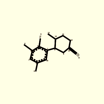 Cc1cc(C)c(F)c(C2CC(=O)CCC2C)c1